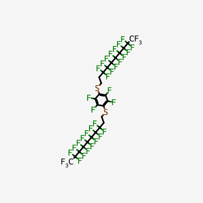 Fc1c(F)c(SCCC(F)(F)C(F)(F)C(F)(F)C(F)(F)C(F)(F)C(F)(F)C(F)(F)C(F)(F)F)c(F)c(F)c1SCCC(F)(F)C(F)(F)C(F)(F)C(F)(F)C(F)(F)C(F)(F)C(F)(F)C(F)(F)F